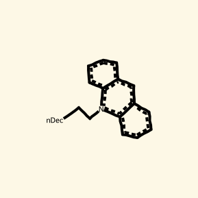 CCCCCCCCCCCC[n+]1c2ccccc2cc2ccccc21